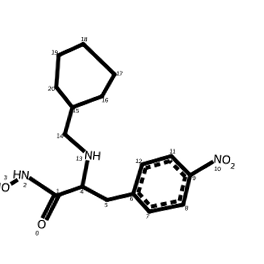 O=C(NO)C(Cc1ccc([N+](=O)[O-])cc1)NCC1CCCCC1